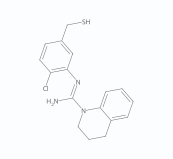 NC(=Nc1cc(CS)ccc1Cl)N1CCCc2ccccc21